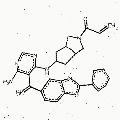 C=CC(=O)N1CC2CC(Nc3ncnc(N)c3C(=N)c3ccc4oc(-c5ccccc5)nc4c3)CC2C1